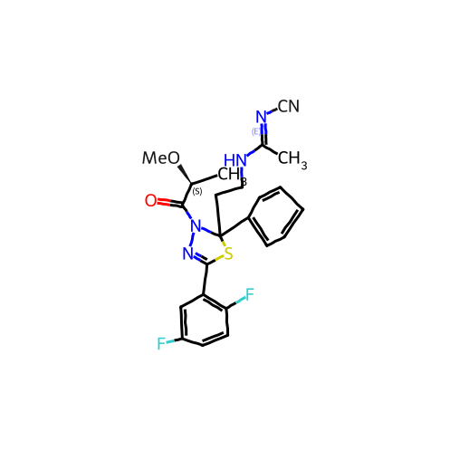 CO[C@@H](C)C(=O)N1N=C(c2cc(F)ccc2F)SC1(CCN/C(C)=N/C#N)c1ccccc1